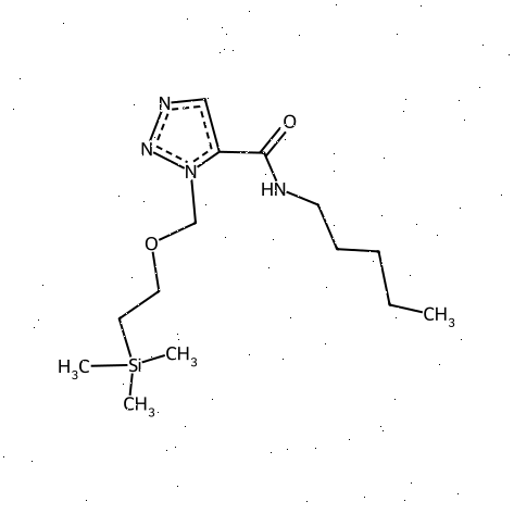 CCCCCNC(=O)c1cnnn1COCC[Si](C)(C)C